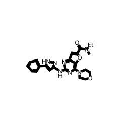 CCN(C)C(=O)c1cc2nc(Nc3cc(-c4ccccc4)[nH]n3)nc(N3CCOCC3)c2o1